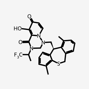 Cc1cccc2c1SCc1cccc(C)c1[C@@H]2CN1CN(C(C)C(F)(F)F)C(=O)c2c(O)c(=O)ccn21